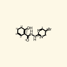 O=C(NNC1=NCC(Br)C=N1)C1=C(O)CCC=C1